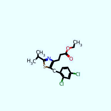 CCOC(=O)CCc1nc(C(C)C)sc1Cc1ccc(Cl)cc1Cl